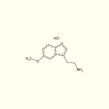 COc1ccc2occ(CCN)c2c1.Cl